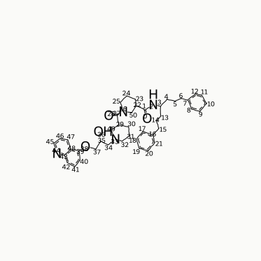 O=C(NC(CCCc1ccccc1)CCCc1ccccc1)C1CCCN(C(=O)C2CCCN(C[C@@H](O)COc3cccc4ncccc34)C2)C1